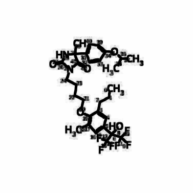 CCCc1cc(C(O)(C(F)(F)F)C(F)(F)F)cc(C)c1OCCCCN1C(=O)NC(C)(c2ccc(OC(C)C)cc2)C1=O